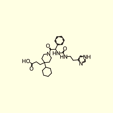 O=C(O)CCC1(C2CCCCC2)CCN(C(=O)C(NC(=O)NCCc2c[nH]cn2)c2ccccc2)CC1